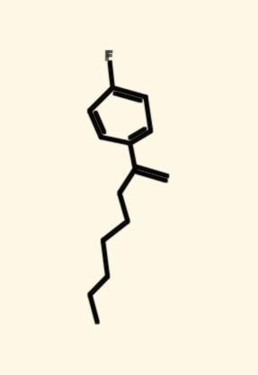 C=C(CCCCCC)c1ccc(F)cc1